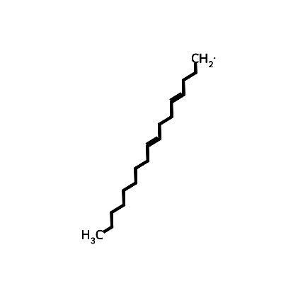 [CH2]CCC=CCCC=CCCCCCCCC